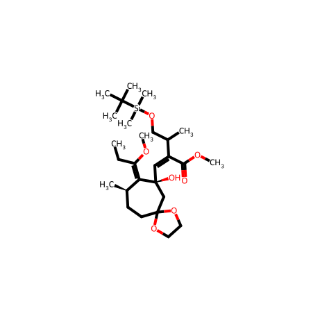 CC/C(OC)=C1\[C@H](C)CCC2(C[C@@]1(O)/C=C(\C(=O)OC)C(C)CO[Si](C)(C)C(C)(C)C)OCCO2